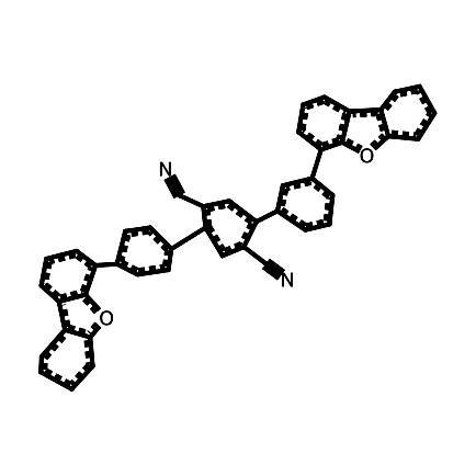 N#Cc1cc(-c2cccc(-c3cccc4c3oc3ccccc34)c2)c(C#N)cc1-c1ccc(-c2cccc3c2oc2ccccc23)cc1